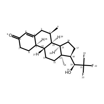 C[C@@H]1CC2=CC(=O)CC[C@@H]2[C@H]2CC[C@@]3(C)[C@H](CC[C@H]3[C@H](O)C(F)(F)F)[C@@H]21